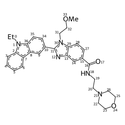 CCn1c2ccccc2c2cc(-c3nc4cc(C(=O)NCCN5CCOCC5)ccc4n3CCOC)ccc21